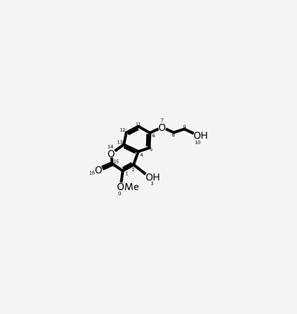 COc1c(O)c2cc(OCCO)ccc2oc1=O